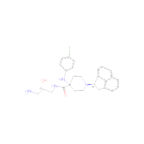 CNC[C@H](O)CNC(=O)C1(Nc2ccc(F)cc2)CCN([C@@H]2Cc3cccc4cccc2c34)CC1